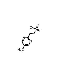 Cc1cnc(CCS(=O)(=O)Cl)nc1